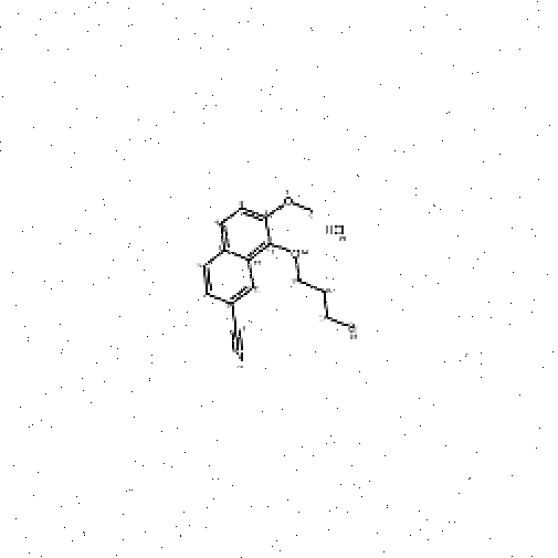 COc1ccc2ccc(C#N)cc2c1OCCCBr.Cl